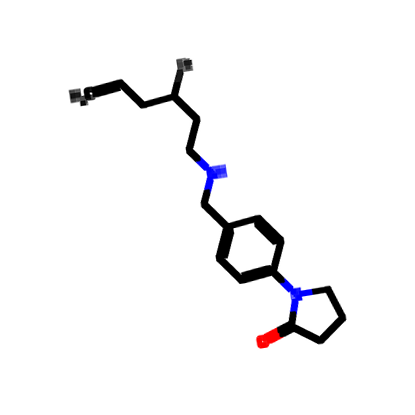 C=CCC(CC)CCNCc1ccc(N2CCCC2=O)cc1